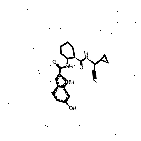 N#C[C@@H](NC(=O)[C@@H]1CCCC[C@@H]1NC(=O)c1cc2ccc(O)cc2[nH]1)C1CC1